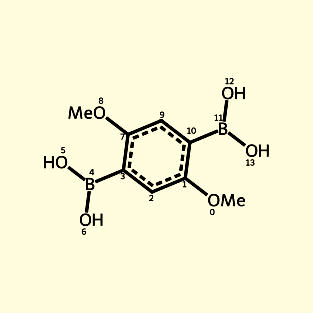 COc1cc(B(O)O)c(OC)cc1B(O)O